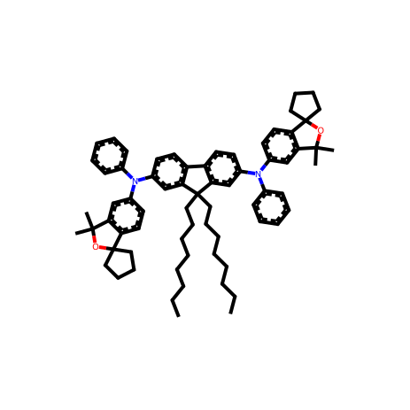 CCCCCCCCC1(CCCCCCCC)c2cc(N(c3ccccc3)c3ccc4c(c3)C(C)(C)OC43CCCC3)ccc2-c2ccc(N(c3ccccc3)c3ccc4c(c3)C(C)(C)OC43CCCC3)cc21